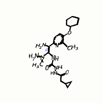 Cc1nc(/C(N)=C(\NC(=O)NNC(=O)CC2CC2)N(C)N)ccc1OC1CCCCC1